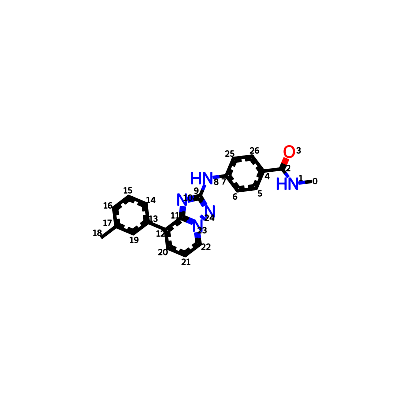 CNC(=O)c1ccc(Nc2nc3c(-c4cccc(C)c4)cccn3n2)cc1